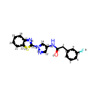 O=C(Cc1cccc(F)c1)Nc1cnn(-c2nc3ccccc3s2)c1